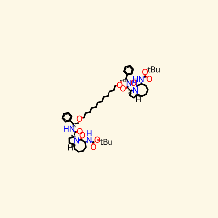 CC(C)(C)OC(=O)NC1CCCC[C@H]2CC[C@@H](C(=O)N[C@H](COCCCCCCCCCCCCOC[C@@H](NC(=O)[C@@H]3CC[C@@H]4CCCCC(NC(=O)OC(C)(C)C)C(=O)N43)c3ccccc3)c3ccccc3)N2C1=O